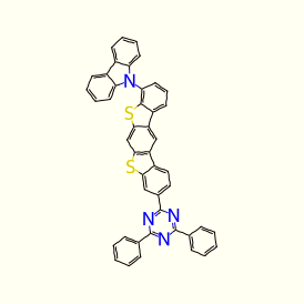 c1ccc(-c2nc(-c3ccccc3)nc(-c3ccc4c(c3)sc3cc5sc6c(-n7c8ccccc8c8ccccc87)cccc6c5cc34)n2)cc1